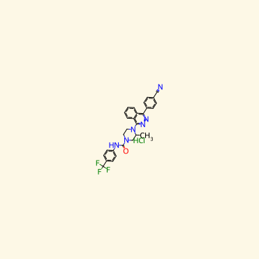 CC1CN(C(=O)Nc2ccc(C(F)(F)F)cc2)CCN1c1nnc(-c2ccc(C#N)cc2)c2ccccc12.Cl